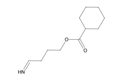 N=CCCCOC(=O)C1CCCCC1